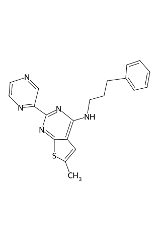 Cc1cc2c(NCCCc3ccccc3)nc(-c3cnccn3)nc2s1